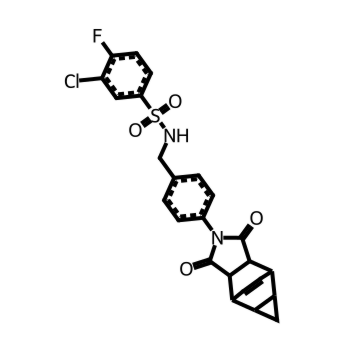 O=C1C2C3C=CC(C4CC34)C2C(=O)N1c1ccc(CNS(=O)(=O)c2ccc(F)c(Cl)c2)cc1